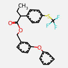 CCC(C(=O)OCc1cccc(Oc2ccccc2)c1)c1ccc(SC(F)(F)F)cc1